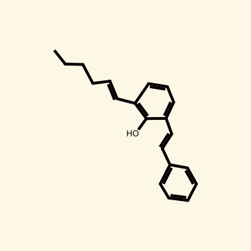 CCCCC=Cc1cccc(C=Cc2ccccc2)c1O